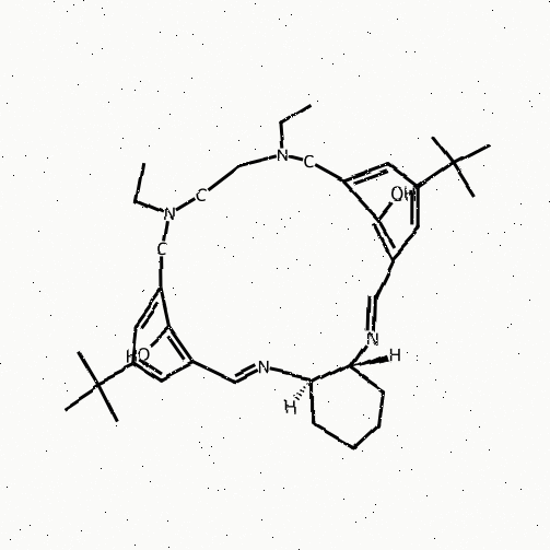 CCN1CCN(CC)Cc2cc(C(C)(C)C)cc(c2O)/C=N/[C@@H]2CCCC[C@H]2/N=C/c2cc(C(C)(C)C)cc(c2O)C1